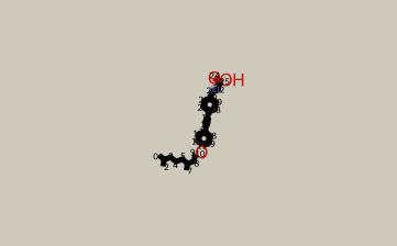 CC(C)CCCC(C)CCOc1ccc(C#Cc2ccc(/C=C/C(=O)O)cc2)cc1